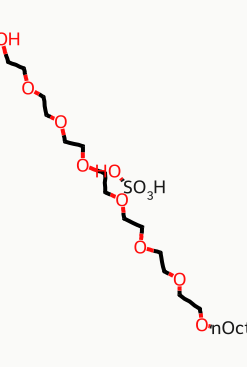 CCCCCCCCOCCOCCOCCOCCOCCOCCOCCO.O=S(=O)(O)O